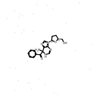 NC1(C(=O)c2ccccc2)NC=Nc2c1ncn2[C@H]1CC[C@@H](CO)O1